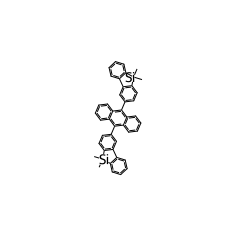 C[Si]1(C)c2ccccc2-c2cc(-c3c4ccccc4c(-c4ccc5c(c4)-c4ccccc4[Si]5(C)C)c4ccccc34)ccc21